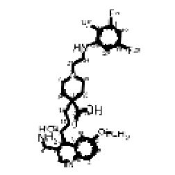 COc1ccc2ncc(CN)c([C@@H](O)CCC3(C(=O)O)CCN(CCNc4cc(F)cc(F)c4F)CC3)c2c1